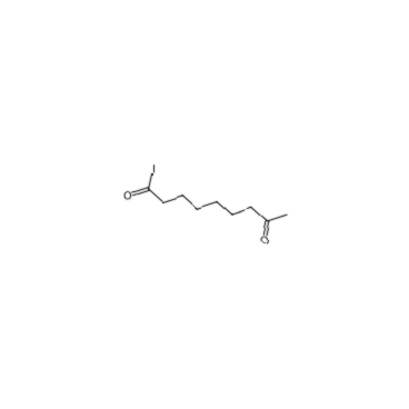 CC(=O)CCCCCCC(=O)I